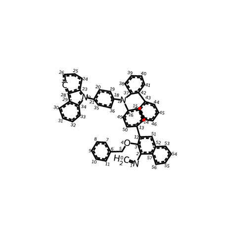 C=Nc1c(OCc2ccccc2)c(-c2ccc(N(c3ccc(-n4c5ccccc5c5ccccc54)cc3)c3ccccc3-c3ccccc3)cc2)cc2ccccc12